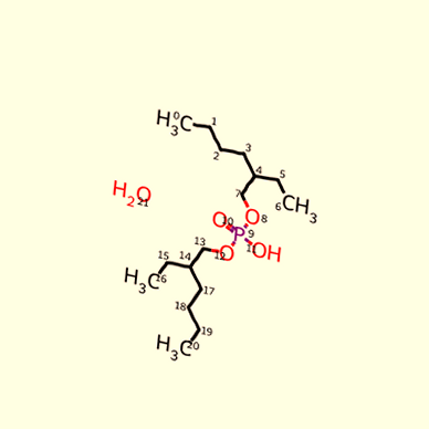 CCCCC(CC)COP(=O)(O)OCC(CC)CCCC.O